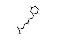 CC(C)N(C)CCOCCN1CCCCC1